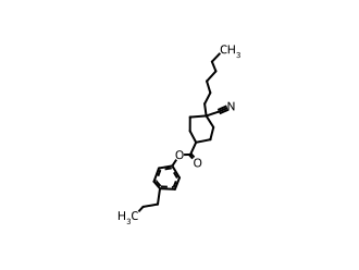 CCCCCCC1(C#N)CCC(C(=O)Oc2ccc(CCC)cc2)CC1